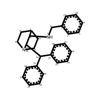 c1ccc(CNC2C3CCN(CC3)C2C(c2ccccc2)c2ccccc2)cc1